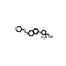 N[C@]1(CO)CC[C@H](c2ccc3c(c2)CC[C@@H](COC2CCOCC2)C3)C1